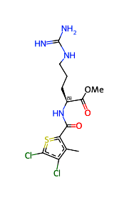 COC(=O)[C@H](CCCNC(=N)N)NC(=O)c1sc(Cl)c(Cl)c1C